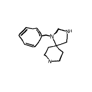 c1ccc(N2CNCC23CC[N]CC3)cc1